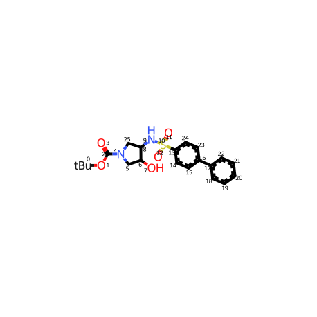 CC(C)(C)OC(=O)N1CC(O)C(NS(=O)(=O)c2ccc(-c3ccccc3)cc2)C1